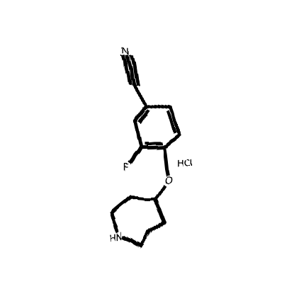 Cl.N#Cc1ccc(OC2CCNCC2)c(F)c1